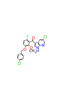 COc1c(OCc2ccc(Cl)cc2)ccc(F)c1C(=O)c1c[nH]c2ncc(Cl)cc12